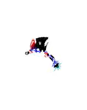 CC(/C=N/OCC(=O)N1CCN(c2ncc(C(F)(F)F)cn2)CC1)c1cccc2c(=O)n(COCC[Si](C)(C)C)ncc12